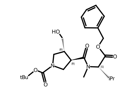 CC(C)[C@@H](C(=O)OCc1ccccc1)N(C)C(=O)[C@H]1CN(C(=O)OC(C)(C)C)C[C@@H]1CO